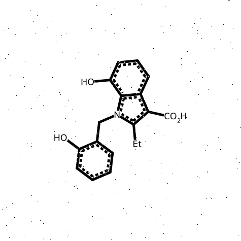 CCc1c(C(=O)O)c2cccc(O)c2n1Cc1ccccc1O